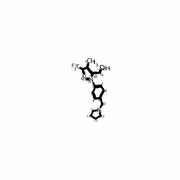 Cc1c(C(F)(F)F)nn(-c2ccc(CN3CCCC3)cc2)c1CO